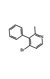 Cc1nccc(Br)c1-c1ccccc1